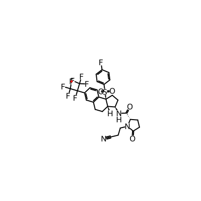 N#CCCN1C(=O)CC[C@H]1C(=O)N[C@@H]1CC[C@@]2(S(=O)(=O)c3ccc(F)cc3)c3ccc(C(F)(C(F)(F)F)C(F)(F)F)cc3CC[C@@H]12